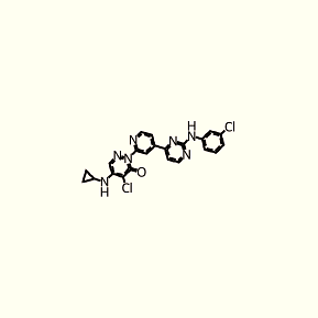 O=c1c(Cl)c(NC2CC2)cnn1-c1cc(-c2ccnc(Nc3cccc(Cl)c3)n2)ccn1